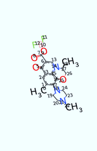 Cc1cc2c(=O)c(C(=O)OB(F)F)cn3c2c(c1N1CCN(C)CC1)OC[C@@H]3C